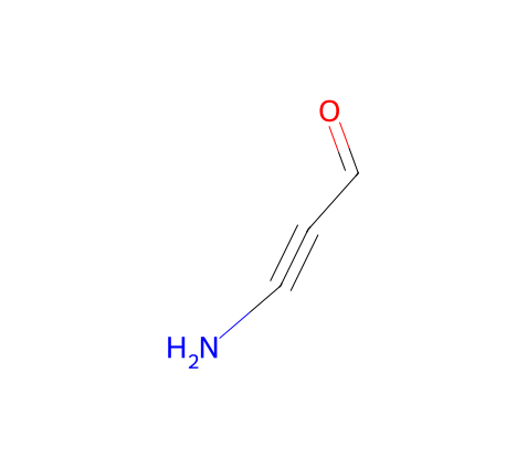 NC#CC=O